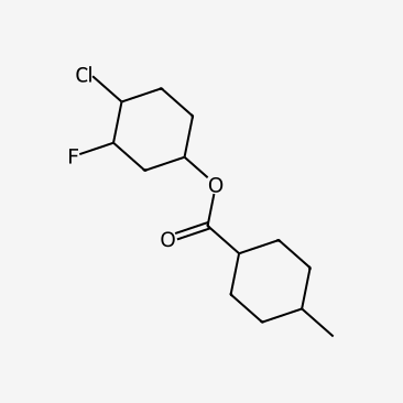 CC1CCC(C(=O)OC2CCC(Cl)C(F)C2)CC1